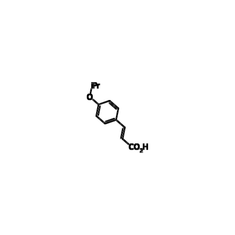 CC(C)Oc1ccc(C=CC(=O)O)cc1